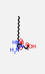 CCCCCCCCCCCCCC(=O)N[C@H](CC(N)=O)C(=O)NCC[C@@H](C)C(=O)O